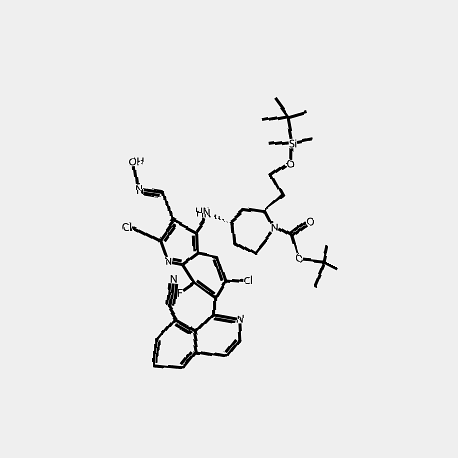 CC(C)(C)OC(=O)N1CC[C@H](Nc2c(/C=N/O)c(Cl)nc3c(F)c(-c4nccc5cccc(C#N)c45)c(Cl)cc23)C[C@H]1CCO[Si](C)(C)C(C)(C)C